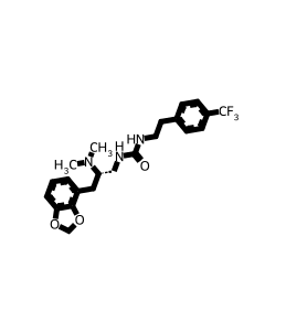 CN(C)[C@H](CNC(=O)NCCc1ccc(C(F)(F)F)cc1)Cc1cccc2c1OCO2